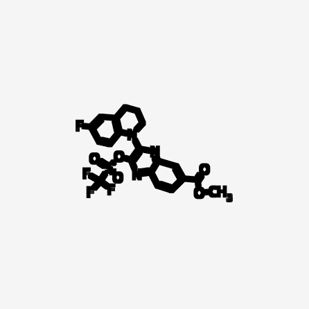 COC(=O)c1ccc2nc(OS(=O)(=O)C(F)(F)F)c(N3CCCc4cc(F)ccc43)nc2c1